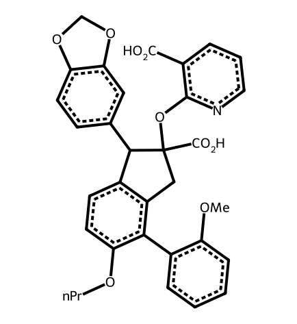 CCCOc1ccc2c(c1-c1ccccc1OC)CC(Oc1ncccc1C(=O)O)(C(=O)O)C2c1ccc2c(c1)OCO2